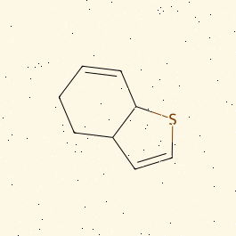 C1=CC2SC=CC2CC1